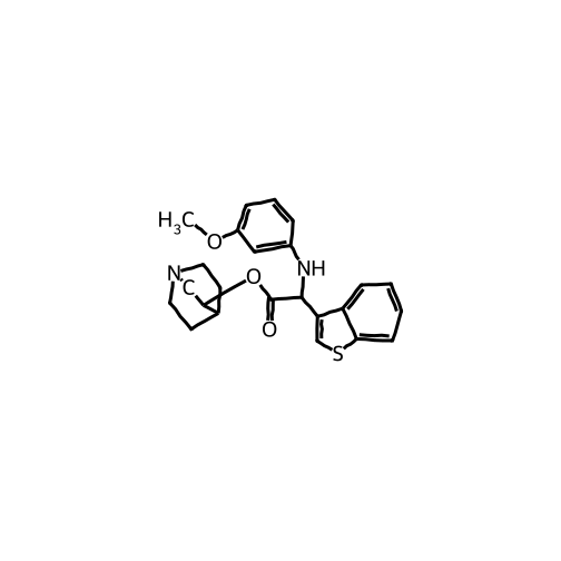 COc1cccc(NC(C(=O)OC2CN3CCC2CC3)c2csc3ccccc23)c1